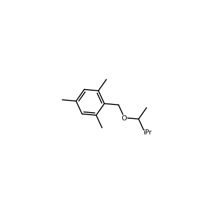 Cc1cc(C)c(COC(C)C(C)C)c(C)c1